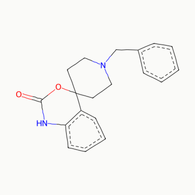 O=C1Nc2ccccc2C2(CCN(Cc3ccccc3)CC2)O1